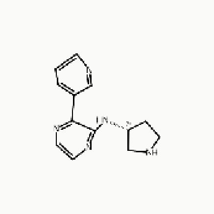 c1cncc(-c2nccnc2N[C@@H]2CCNC2)c1